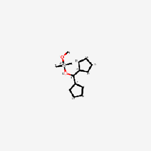 CO[Si](C)(C)OC(C1CCCC1)C1CCCC1